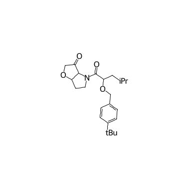 CC(C)CC(OCc1ccc(C(C)(C)C)cc1)C(=O)N1CCC2OCC(=O)C21